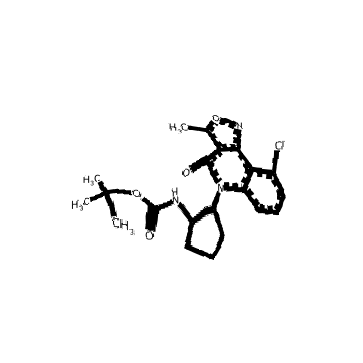 Cc1onc2c1c(=O)n(C1CCCC1NC(=O)OC(C)(C)C)c1cccc(Cl)c21